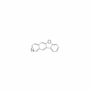 c1ccc2c(c1)oc1cc3ccncc3cc12